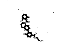 O=C(NCCO)c1ccc(Cl)c(-c2ccc3c(c2)CCCN3C(=O)c2c(F)cccc2Cl)c1